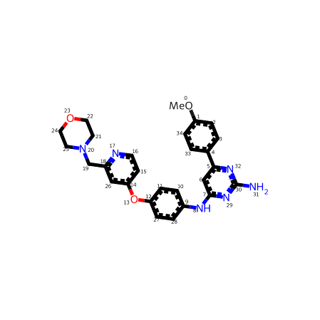 COc1ccc(-c2cc(Nc3ccc(Oc4ccnc(CN5CCOCC5)c4)cc3)nc(N)n2)cc1